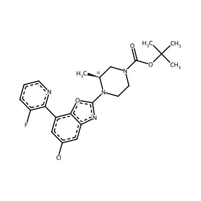 C[C@H]1CN(C(=O)OC(C)(C)C)CCN1c1nc2cc(Cl)cc(-c3ncccc3F)c2o1